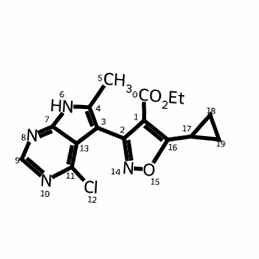 CCOC(=O)c1c(-c2c(C)[nH]c3ncnc(Cl)c23)noc1C1CC1